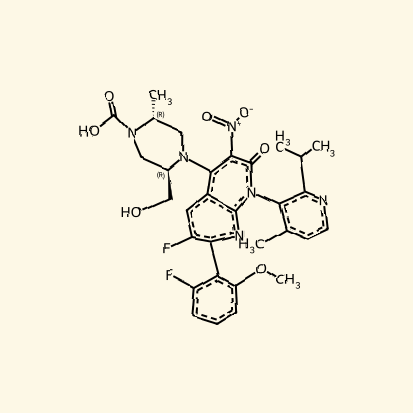 COc1cccc(F)c1-c1nc2c(cc1F)c(N1C[C@@H](C)N(C(=O)O)C[C@@H]1CO)c([N+](=O)[O-])c(=O)n2-c1c(C)ccnc1C(C)C